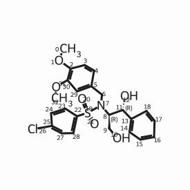 COc1ccc(CN([C@H](CO)[C@H](O)c2ccccc2)S(=O)(=O)c2ccc(Cl)cc2)cc1OC